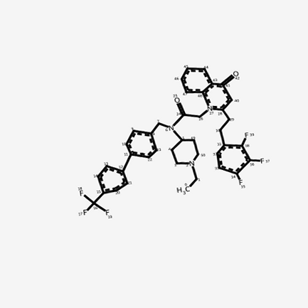 CCN1CCC(N(Cc2ccc(-c3ccc(C(F)(F)F)cc3)cc2)C(=O)Cn2c(CCc3ccc(F)c(F)c3F)cc(=O)c3ccccc32)CC1